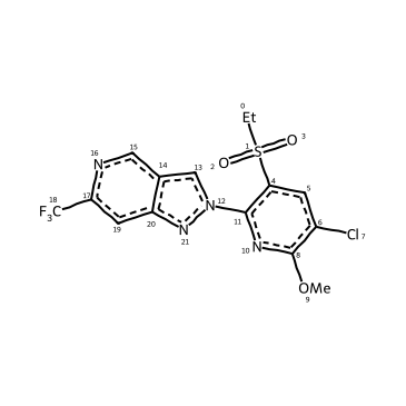 CCS(=O)(=O)c1cc(Cl)c(OC)nc1-n1cc2cnc(C(F)(F)F)cc2n1